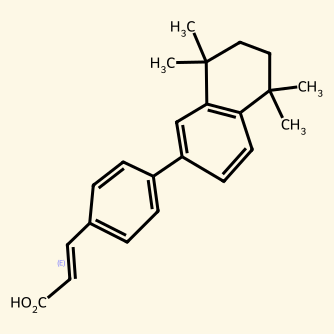 CC1(C)CCC(C)(C)c2cc(-c3ccc(/C=C/C(=O)O)cc3)ccc21